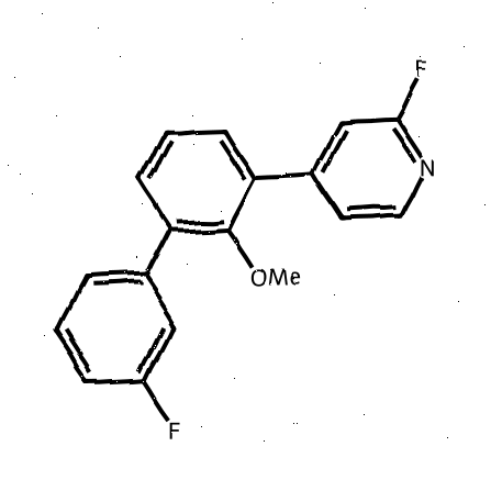 COc1c(-c2cccc(F)c2)cccc1-c1ccnc(F)c1